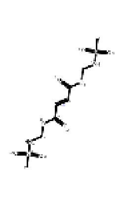 CS(=O)(=O)NCOC(=O)/C=C/C(=O)OCNS(C)(=O)=O